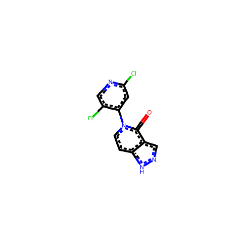 O=c1c2cn[nH]c2ccn1-c1cc(Cl)ncc1Cl